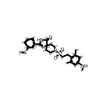 CNc1cc(C)c(CCS(=O)(=O)N2CCC3(CC2)N=C(c2cccc(SF)c2)NC3=O)c(C)c1